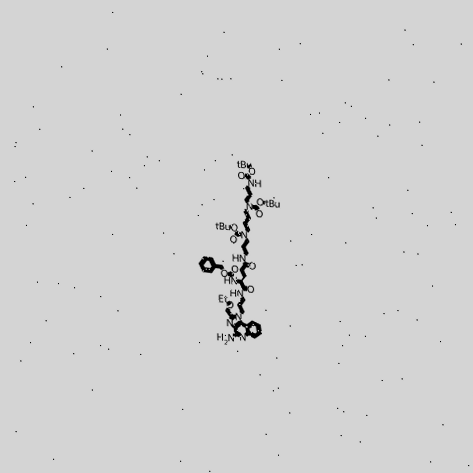 CCOCc1nc2c(N)nc3ccccc3c2n1CCCNC(=O)[C@H](CCC(=O)NCCCN(CCCCN(CCCNC(=O)OC(C)(C)C)C(=O)OC(C)(C)C)C(=O)OC(C)(C)C)NC(=O)OCc1ccccc1